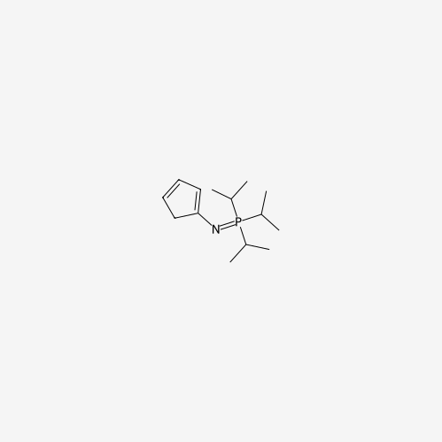 CC(C)P(=NC1=CC=CC1)(C(C)C)C(C)C